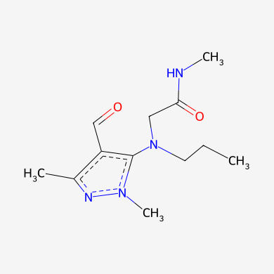 CCCN(CC(=O)NC)c1c(C=O)c(C)nn1C